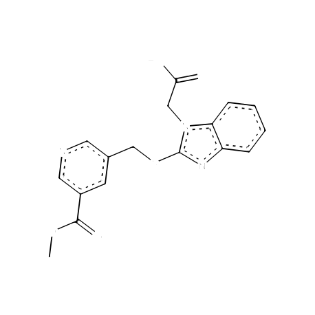 COC(=O)c1cncc(CSc2nc3ccccc3n2CC(=O)O)c1